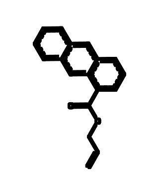 C=CCOC(=O)c1cccc2cc3ccccc3cc12